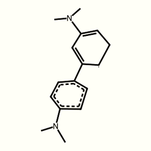 CN(C)C1=CC[CH]C(c2ccc(N(C)C)cc2)=C1